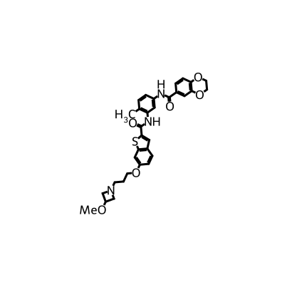 COC1CN(CCCOc2ccc3cc(C(=O)Nc4cc(NC(=O)c5ccc6c(c5)OCCO6)ccc4C)sc3c2)C1